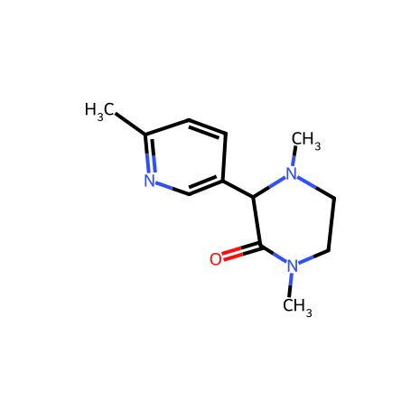 Cc1ccc(C2C(=O)N(C)CCN2C)cn1